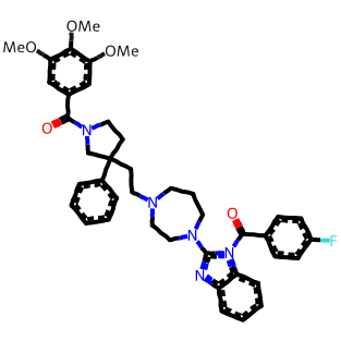 COc1cc(C(=O)N2CCC(CCN3CCCN(c4nc5ccccc5n4C(=O)c4ccc(F)cc4)CC3)(c3ccccc3)C2)cc(OC)c1OC